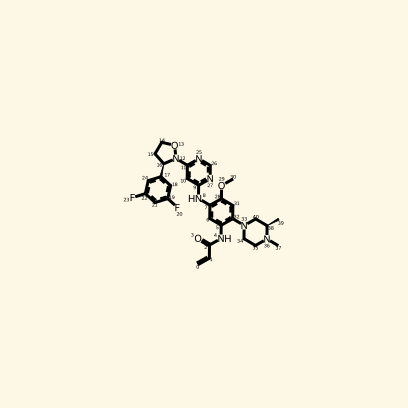 C=CC(=O)Nc1cc(Nc2cc(N3OCC[C@@H]3c3cc(F)cc(F)c3)ncn2)c(OC)cc1N1CCN(C)[C@H](C)C1